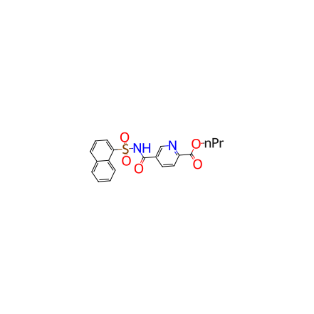 CCCOC(=O)c1ccc(C(=O)NS(=O)(=O)c2cccc3ccccc23)cn1